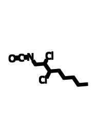 CCCCCC(Cl)C(Cl)CN=C=O